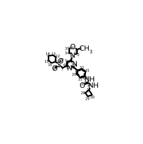 CC1CN(c2cc(CS(=O)(=O)C3CCCCC3)nc(-c3ccc(NC(=O)NC4CCC4)cc3)n2)CCO1